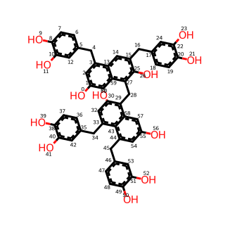 Oc1cc(Cc2ccc(O)c(O)c2)c2cc(Cc3ccc(O)c(O)c3)c(O)c(Cc3c(O)cc(Cc4ccc(O)c(O)c4)c4c(Cc5ccc(O)c(O)c5)cc(O)cc34)c2c1